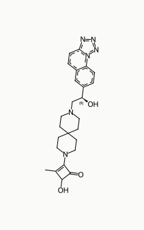 CC1=C(N2CCC3(CCN(C[C@H](O)c4ccc5c(ccc6nnnn65)c4)CC3)CC2)C(=O)C1O